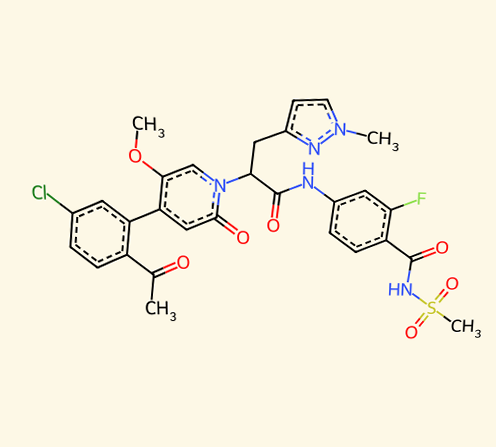 COc1cn(C(Cc2ccn(C)n2)C(=O)Nc2ccc(C(=O)NS(C)(=O)=O)c(F)c2)c(=O)cc1-c1cc(Cl)ccc1C(C)=O